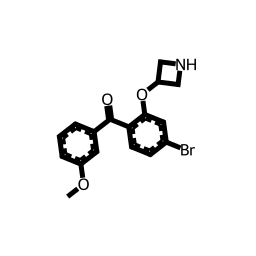 COc1cccc(C(=O)c2ccc(Br)cc2OC2CNC2)c1